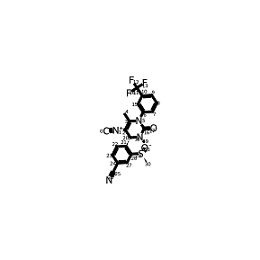 [C-]#[N+]C1=C(C)N(c2cccc(C(F)(F)F)c2)C(=O)N(C)[C@@H]1c1ccc(C#N)cc1[S@@+](C)[O-]